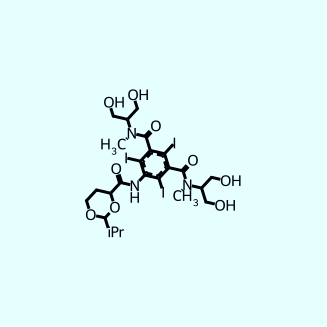 CC(C)C1OCCC(C(=O)Nc2c(I)c(C(=O)N(C)C(CO)CO)c(I)c(C(=O)N(C)C(CO)CO)c2I)O1